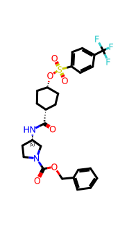 O=C(OCc1ccccc1)N1CC[C@H](NC(=O)[C@H]2CC[C@@H](OS(=O)(=O)c3ccc(C(F)(F)F)cc3)CC2)C1